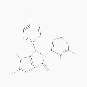 CC(C)n1c(Br)cc2c1C(c1ccc(Cl)cn1)N(c1cccc(Cl)c1F)C2=O